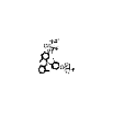 Cc1ccccc1P(c1ccccc1C)c1ccccc1C.O=S(=O)([O-])C(F)(F)F.O=S(=O)([O-])C(F)(F)F.[Pd+2]